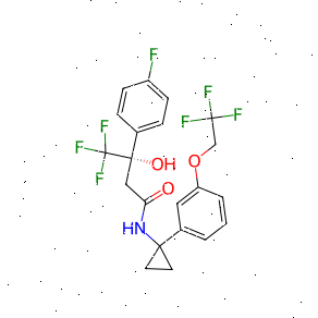 O=C(C[C@](O)(c1ccc(F)cc1)C(F)(F)F)NC1(c2cccc(OCC(F)(F)F)c2)CC1